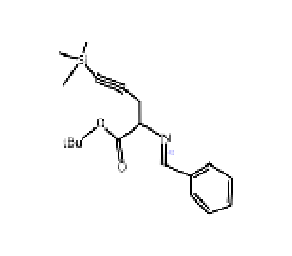 CC(C)(C)OC(=O)C(CC#C[Si](C)(C)C)/N=C/c1ccccc1